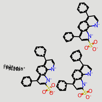 O=S(=O)([O-])C1=CC(c2ccccc2)=c2ccc3c(c2[N-]1)[N-]C=CC=3c1ccccc1.O=S(=O)([O-])C1=CC(c2ccccc2)=c2ccc3c(c2[N-]1)[N-]C=CC=3c1ccccc1.O=S(=O)([O-])C1=CC(c2ccccc2)=c2ccc3c(c2[N-]1)[N-]C=CC=3c1ccccc1.[Fe+3].[Fe+3].[Na+].[Na+].[Na+]